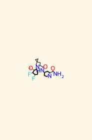 COc1c(N2CC3(CC3)CC2C(=O)Nc2ccnc(C(N)=O)c2)ccc(F)c1F